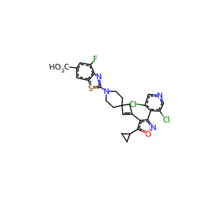 O=C(O)c1cc(F)c2nc(N3CCC4(C=C(c5c(-c6c(Cl)cncc6Cl)noc5C5CC5)C4)CC3)sc2c1